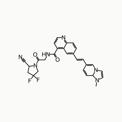 CN1C=CN2C=C(/C=C/c3ccc4nccc(C(=O)NCC(=O)N5CC(F)(F)CC5C#N)c4c3)C=CC12